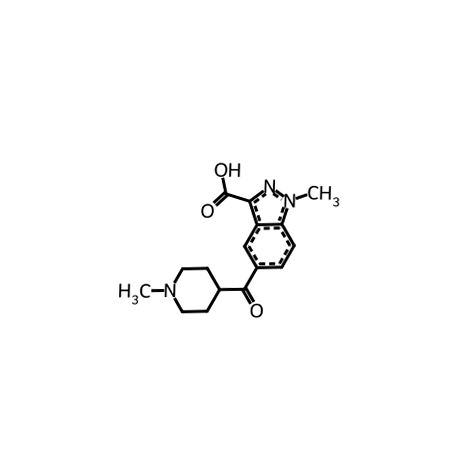 CN1CCC(C(=O)c2ccc3c(c2)c(C(=O)O)nn3C)CC1